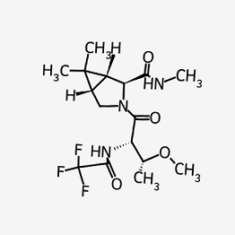 CNC(=O)[C@@H]1[C@@H]2[C@H](CN1C(=O)[C@@H](NC(=O)C(F)(F)F)[C@@H](C)OC)C2(C)C